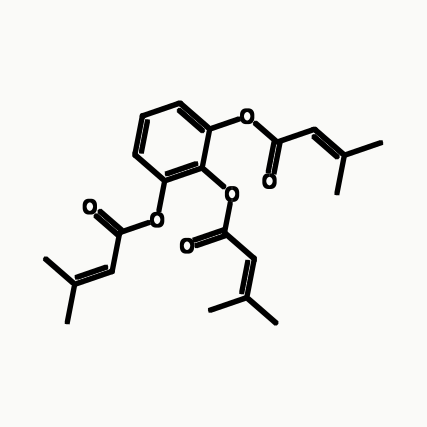 CC(C)=CC(=O)Oc1cccc(OC(=O)C=C(C)C)c1OC(=O)C=C(C)C